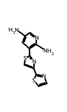 Nc1cnc(N)c(-c2nc(-c3nccs3)cs2)c1